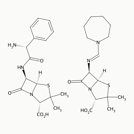 CC1(C)S[C@@H]2[C@H](N=CN3CCCCCC3)C(=O)N2[C@H]1C(=O)O.CC1(C)S[C@@H]2[C@H](NC(=O)[C@H](N)c3ccccc3)C(=O)N2[C@H]1C(=O)O